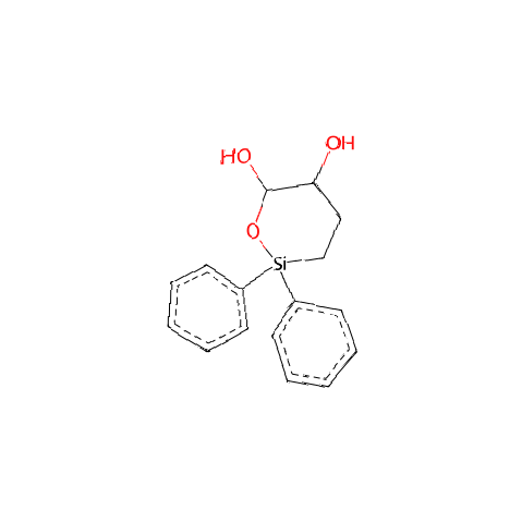 OC1CC[Si](c2ccccc2)(c2ccccc2)OC1O